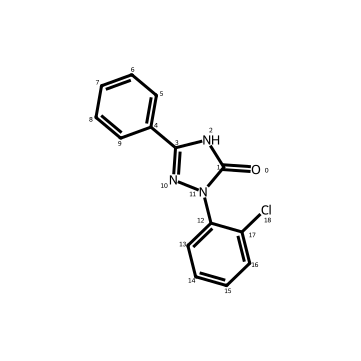 O=c1[nH]c(-c2ccccc2)nn1-c1ccccc1Cl